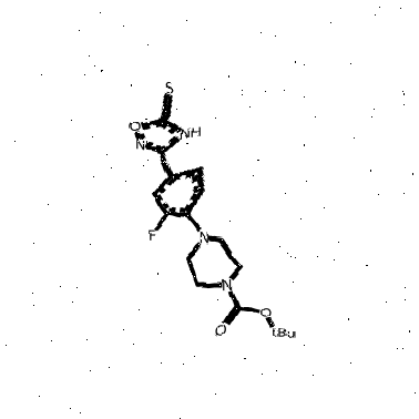 CC(C)(C)OC(=O)N1CCN(c2ccc(-c3noc(=S)[nH]3)cc2F)CC1